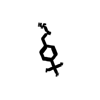 C[Te]Cc1ccc(C(F)(F)F)cc1